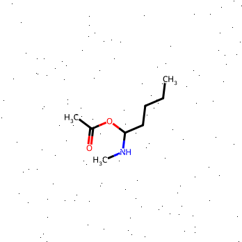 CCCCC(NC)OC(C)=O